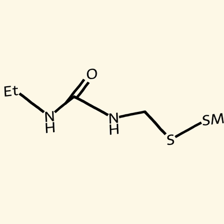 [CH2]SSCNC(=O)NCC